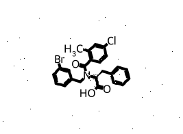 Cc1cc(Cl)ccc1C(=O)N(Cc1cccc(Br)c1)[C@@H](Cc1ccccc1)C(=O)O